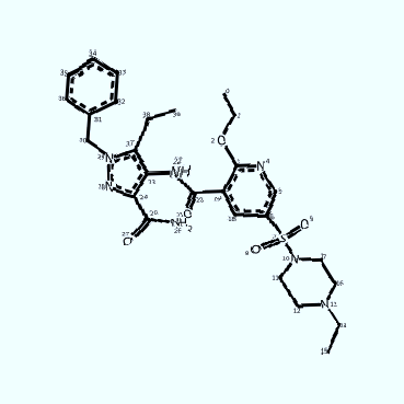 CCOc1ncc(S(=O)(=O)N2CCN(CC)CC2)cc1C(=O)Nc1c(C(N)=O)nn(Cc2ccccc2)c1CC